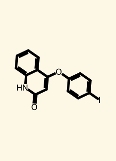 O=c1cc(Oc2ccc(I)cc2)c2ccccc2[nH]1